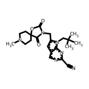 CN1CCC2(CC1)OC(=O)N(Cc1cc3cnc(C#N)nc3n1CC(C)(C)C)C2=O